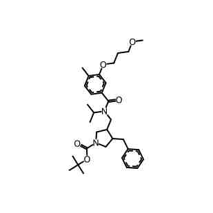 COCCCOc1cc(C(=O)N(CC2CN(C(=O)OC(C)(C)C)CC2Cc2ccccc2)C(C)C)ccc1C